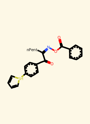 CCCCCC(=NOC(=O)c1ccccc1)C(=O)c1ccc([SH]2C=CC=C2)cc1